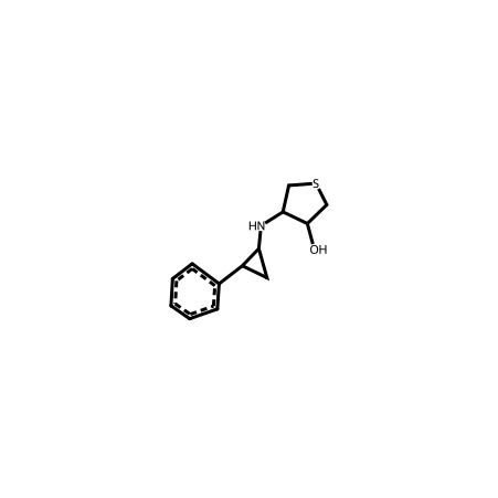 OC1CSCC1NC1CC1c1ccccc1